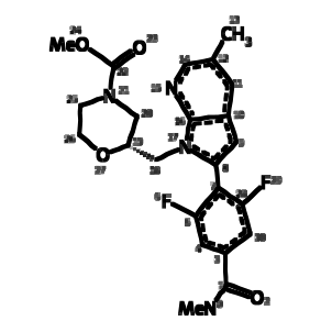 CNC(=O)c1cc(F)c(-c2cc3cc(C)cnc3n2C[C@H]2CN(C(=O)OC)CCO2)c(F)c1